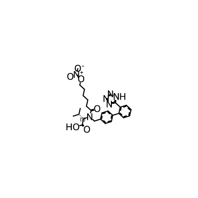 CC(C)[C@@H](C(=O)O)N(Cc1ccc(-c2ccccc2-c2nnn[nH]2)cc1)C(=O)CCCCCO[N+](=O)[O-]